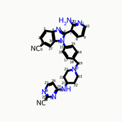 N#Cc1ccc2nc(-c3cccnc3N)n(-c3ccc(CN4CCC(Nc5ccnc(C#N)n5)CC4)cc3)c2c1